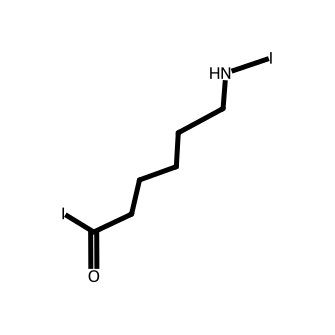 O=C(I)CCCCCNI